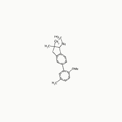 COc1ccc(C)cc1-c1ccc2c(c1)CC(C)(C)C2NC(=O)O